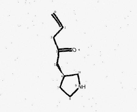 C=CCC(=O)C[C@@H]1CCNC1